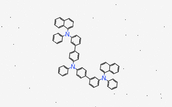 c1ccc(N(c2ccc(-c3cccc(N(c4ccccc4)c4cccc5ccccc45)c3)cc2)c2ccc(-c3cccc(N(c4ccccc4)c4cccc5ccccc45)c3)cc2)cc1